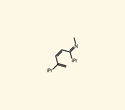 C=C(/C=C\C(=N/C)C(C)C)C(C)C